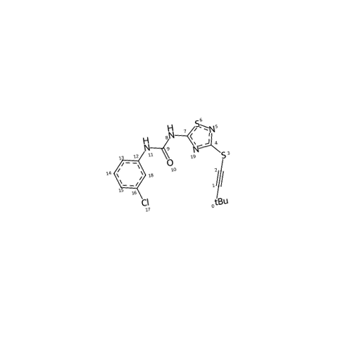 CC(C)(C)C#CSc1nsc(NC(=O)Nc2cccc(Cl)c2)n1